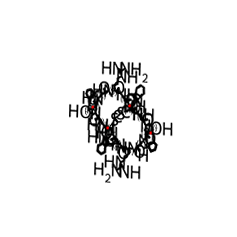 C[C@@H]1NC(=O)[C@@H]2CSCSC[C@H](NC(=O)[C@H](CC3=CNC4C=CC=CC34)NC(=O)[C@H](CCCNC(=N)N)NC(=O)[C@@H](Cc3ccccc3)NC(=O)[C@@H]3C[C@@H](O)CN3C1=O)C(=O)N[C@@H](C)C(=O)N1C[C@H](O)C[C@H]1C(=O)N[C@H](Cc1ccccc1)C(=O)N[C@@H](CCCNC(=N)N)C(=O)N[C@@H](Cc1c[nH]c3ccccc13)C(=O)N2